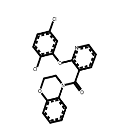 O=C(c1cccnc1Oc1cc(Cl)ccc1Cl)N1CCOc2ccccc21